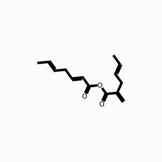 C=C(CC=CC)C(=O)OC(=O)C=CCC=CC